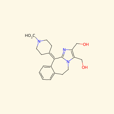 O=C(O)N1CCC(=C2c3ccccc3CCn3c2nc(CO)c3CO)CC1